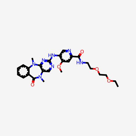 CCOCCOCCNC(=O)c1cc(OC)c(Nc2ncc3c(n2)N(C)c2ccccc2C(=O)N3C)cn1